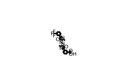 CC1=NN(c2cccc(C(=O)O)c2)C(=O)C1/N=N/C1C(=O)N(c2cccc(C(F)(F)F)c2)N=C1C